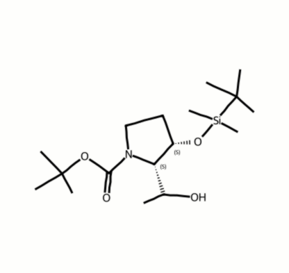 CC(O)[C@H]1[C@@H](O[Si](C)(C)C(C)(C)C)CCN1C(=O)OC(C)(C)C